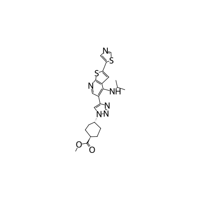 COC(=O)[C@H]1CC[C@H](n2cc(-c3cnc4sc(-c5cncs5)cc4c3NC(C)C)nn2)CC1